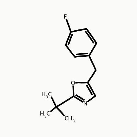 CC(C)(C)c1ncc(Cc2ccc(F)cc2)o1